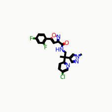 Cn1cc(C(C)(CNC(=O)c2cc(-c3ccc(F)cc3F)on2)c2ccc(Cl)cn2)cn1